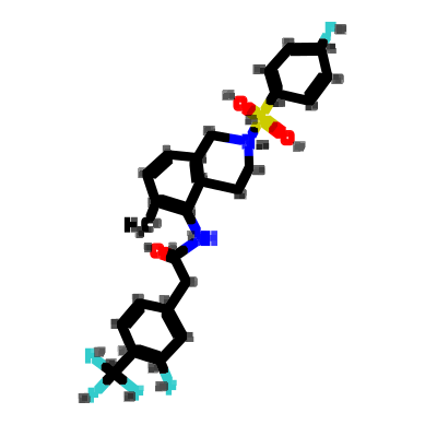 Cc1ccc2c(c1NC(=O)Cc1ccc(C(F)(F)F)c(F)c1)CCN(S(=O)(=O)c1ccc(F)cc1)C2